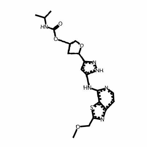 COCc1nc2ccnc(Nc3cc(C4CC(OC(=O)NC(C)C)CO4)n[nH]3)c2s1